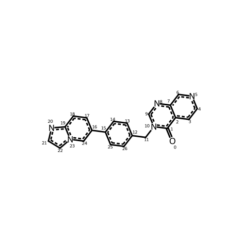 O=c1c2ccncc2ncn1Cc1ccc(-c2ccc3nccn3c2)cc1